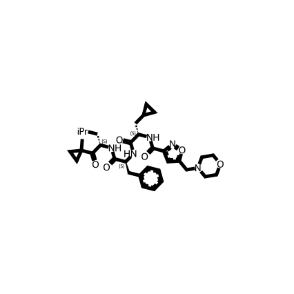 CC(C)C[C@H](NC(=O)[C@H](Cc1ccccc1)NC(=O)[C@H](CC1CC1)NC(=O)c1cc(CN2CCOCC2)on1)C(=O)C1(C)CC1